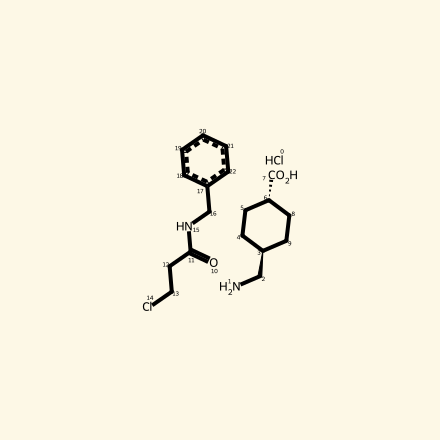 Cl.NC[C@H]1CC[C@H](C(=O)O)CC1.O=C(CCCl)NCc1ccccc1